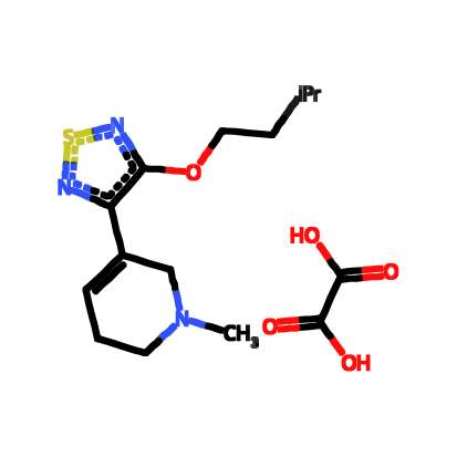 CC(C)CCOc1nsnc1C1=CCCN(C)C1.O=C(O)C(=O)O